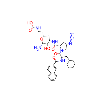 [N-]=[N+]=N[C@@H]1C[C@@H](C(=O)NC(CCCCNC(=O)O)C(O)C(N)=O)N(C(=O)[C@@H](CC2CCCCC2)NC(=O)c2ccc3ccccc3c2)C1